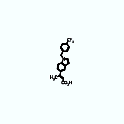 CC(=CC(=O)O)c1ccc2c(ccn2Cc2ccc(C(F)(F)F)cc2)c1